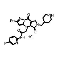 CCc1cc2n(CC(=O)Nc3ccc(F)cn3)c3c(c(=O)n2n1)CN(CC1CCNCC1)C3=O.Cl